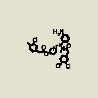 Cc1ccc(CC(=O)O[C@H]2CCN(C[C@H](c3cccc(N)c3)N(C)C(=O)Cc3ccc(Cl)c(Cl)c3)C2)cc1Cl